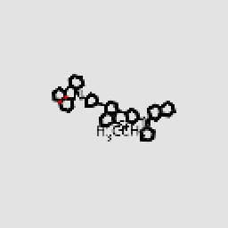 C[Si]1(C)c2cc(N(c3ccccc3)c3ccc4ccccc4c3)ccc2-c2ccc(-c3ccc(N(c4ccccc4)c4ccccc4-c4ccccc4)cc3)c3cccc1c23